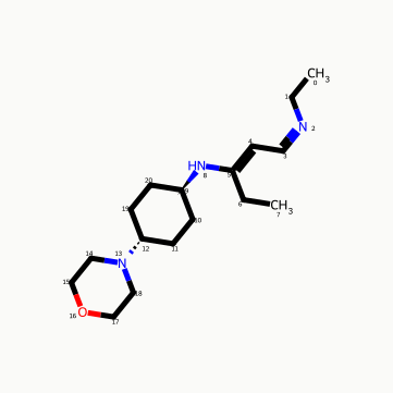 CC/N=C\C=C(/CC)N[C@H]1CC[C@H](N2CCOCC2)CC1